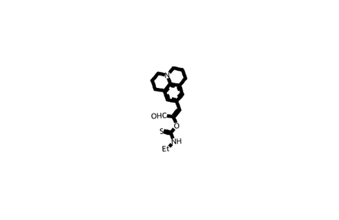 CCNC(=S)O/C(C=O)=C/c1cc2c3c(c1)CCCN3CCC2